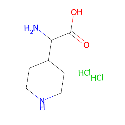 Cl.Cl.NC(C(=O)O)C1CCNCC1